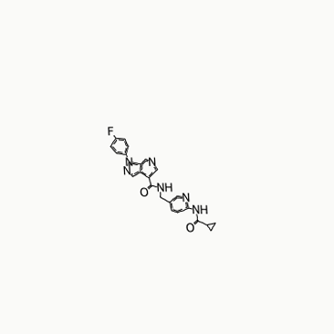 O=C(NCc1ccc(NC(=O)C2CC2)nc1)c1cncc2c1cnn2-c1ccc(F)cc1